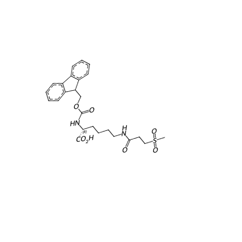 CS(=O)(=O)CCC(=O)NCCCC[C@@H](NC(=O)OCC1c2ccccc2-c2ccccc21)C(=O)O